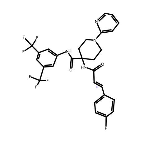 O=C(/C=C/c1ccc(F)cc1)NC1(C(=O)Nc2cc(C(F)(F)F)cc(C(F)(F)F)c2)CCN(c2ccccn2)CC1